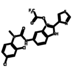 CN(C(=O)Nc1ccc2[nH]c(-c3cscn3)[n+](OC(=O)C(F)(F)F)c2c1)c1ccc(Cl)cc1Cl